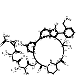 CCn1c(-c2cnccc2COC)c2c3cc(ccc31)-c1cc(O)cc(c1)C[C@H](NC(=O)C(C(C)C)N(C)C(=O)CN(C)C(=O)[C@@H]1N[C@@H]1C(=O)OC)C(=O)N1CCC[C@H](N1)C(=O)OCC(C)(C)C2